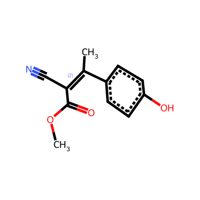 COC(=O)/C(C#N)=C(/C)c1ccc(O)cc1